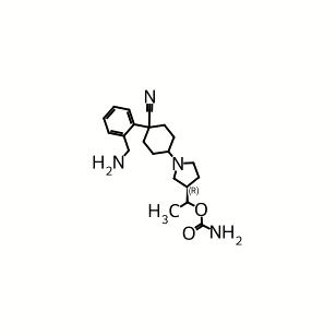 CC(OC(N)=O)[C@@H]1CCN(C2CCC(C#N)(c3ccccc3CN)CC2)C1